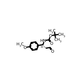 COc1ccc([C@@H](CC=O)NC(=O)OC(C)(C)C)cc1